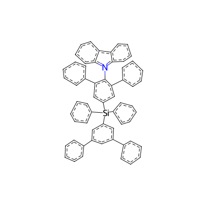 c1ccc(-c2cc(-c3ccccc3)cc([Si](c3ccccc3)(c3ccccc3)c3cc(-c4ccccc4)c(-n4c5ccccc5c5ccccc54)c(-c4ccccc4)c3)c2)cc1